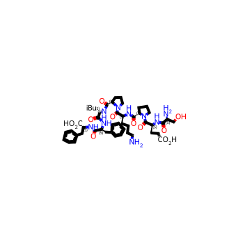 CC[C@H](C)[C@H](NC(=O)[C@@H]1CCCN1C(=O)[C@H](CCCCN)NC(=O)[C@@H]1CCCN1C(=O)[C@H](CCC(=O)O)NC(=O)[C@@H](N)CO)C(=O)N[C@@H](Cc1ccccc1)C(=O)N[C@@H](Cc1ccccc1)C(=O)O